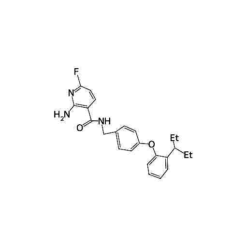 CCC(CC)c1ccccc1Oc1ccc(CNC(=O)c2ccc(F)nc2N)cc1